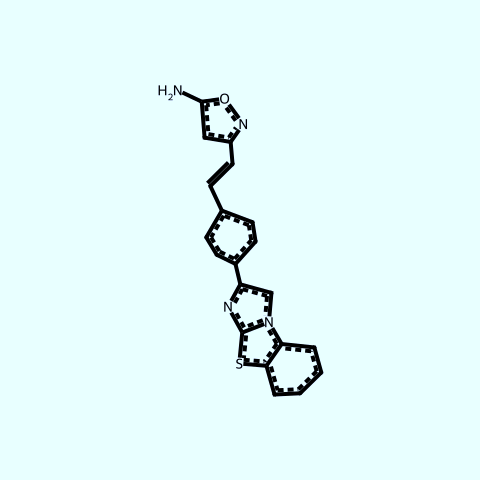 Nc1cc(C=Cc2ccc(-c3cn4c(n3)sc3ccccc34)cc2)no1